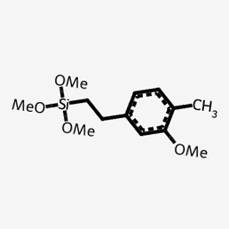 COc1cc(CC[Si](OC)(OC)OC)ccc1C